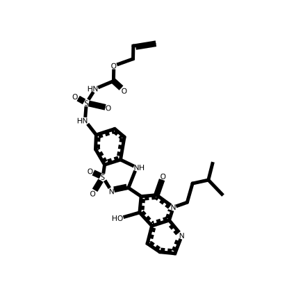 C=CCOC(=O)NS(=O)(=O)Nc1ccc2c(c1)S(=O)(=O)N=C(c1c(O)c3cccnc3n(CCC(C)C)c1=O)N2